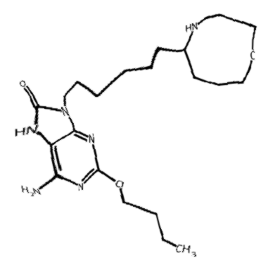 CCCCOc1nc(N)c2[nH]c(=O)n(CCCCCC3CCCCCCN3)c2n1